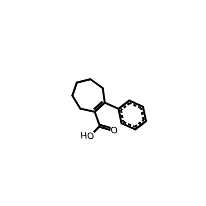 O=C(O)C1=C(c2ccccc2)CCCCC1